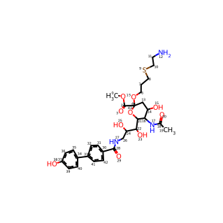 COC(=O)C1(OCCCSCCN)CC(O)C(NC(C)=O)C(C(O)C(O)CNC(=O)c2ccc(-c3ccc(O)cc3)cc2)O1